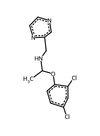 CC(NCc1cnccn1)Oc1ccc(Cl)cc1Cl